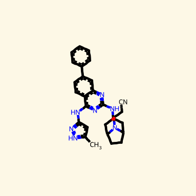 Cc1cc(Nc2nc(NC3CC4CCC(C3)N4CCC#N)nc3cc(-c4ccccc4)ccc23)n[nH]1